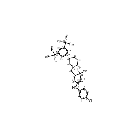 O=C(Nc1ccc(Cl)cc1)O[C@@H](CN1CCC[C@@H](c2cc(C(F)(F)F)cc(C(F)(F)F)c2)C1)C(F)(F)F